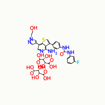 Nc1ncc(-c2cnn(CCO)c2)c2scc(-c3ccc(NC(=O)Nc4cccc(F)c4)cc3)c12.O=C(O)C(O)C(O)C(=O)O.O=C(O)C(O)C(O)C(=O)O